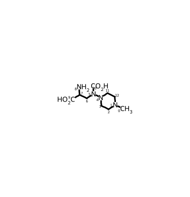 CN1CCN(N(CC(N)C(=O)O)C(=O)O)CC1